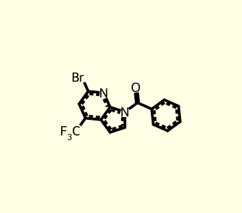 O=C(c1ccccc1)n1ccc2c(C(F)(F)F)cc(Br)nc21